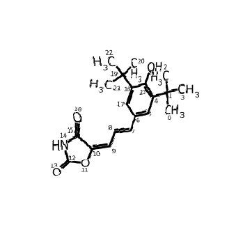 CC(C)(C)c1cc(C=CC=C2OC(=O)NC2=O)cc(C(C)(C)C)c1O